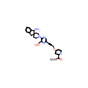 CNC(=O)c1cc(OCC#Cc2cnc(N3CCC4(CC3)Cc3ccccc3C4N)c(CO)n2)ccn1